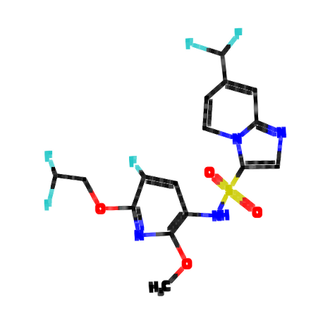 COc1nc(OCC(F)F)c(F)cc1NS(=O)(=O)c1cnc2cc(C(F)F)ccn12